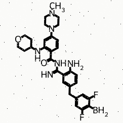 Bc1c(F)cc(Cc2ccc(N)c(C(=N)NC(=O)c3ccc(N4CCN(C)CC4)cc3NC3CCOCC3)c2)cc1F